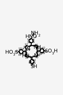 NC(=O)Nc1ccc(-c2c3nc(c(-c4ccc(S(=O)(=O)O)cc4)c4ccc([nH]4)c(-c4ccc(S)cc4)c4nc(c(-c5ccc(S(=O)(=O)O)cc5)c5ccc2[nH]5)C=C4)C=C3)cc1